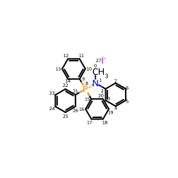 CN(c1ccccc1)[P+](c1ccccc1)(c1ccccc1)c1ccccc1.[I-]